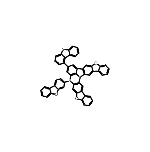 c1ccc2c(c1)oc1cc(N3c4cc5oc6ccccc6c5cc4B4c5cc6c(cc5-c5cc(-c7cccc8sc9ccccc9c78)cc3c54)oc3ccccc36)ccc12